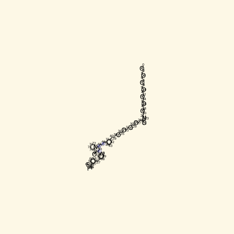 COCCOCCOCCOCCOCCOCCOCCN(C)C(=O)CCOCCOCCOCCOCCCc1cccc(/C=C/C=C(\C=C(/C=O)c2cc(Cc3cccc(C(F)(F)F)c3)ccn2)N2CCCCC2)c1